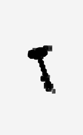 C[C@]12CC[C@@H]3c4ccccc4C[C@@H](CCCCCCCCC[S+]([O-])CCCC(F)(F)C(F)(F)F)[C@H]3[C@@H]1CC[C@@H]2O